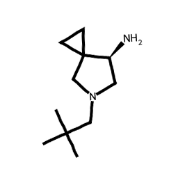 CC(C)(C)CN1C[C@H](N)C2(CC2)C1